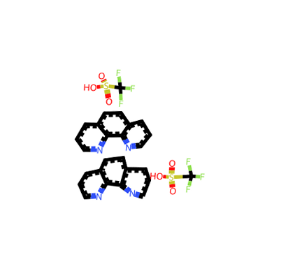 O=S(=O)(O)C(F)(F)F.O=S(=O)(O)C(F)(F)F.c1cnc2c(c1)ccc1cccnc12.c1cnc2c(c1)ccc1cccnc12